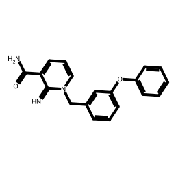 N=c1c(C(N)=O)cccn1Cc1cccc(Oc2ccccc2)c1